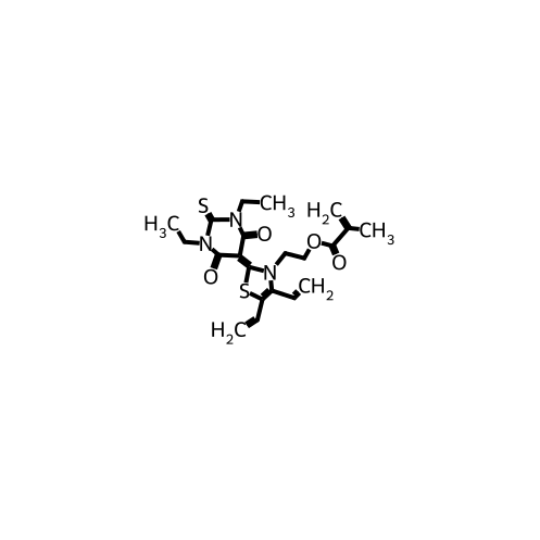 C=CC1=C(C=C)N(CCOC(=O)C(=C)C)C(=C2C(=O)N(CC)C(=S)N(CC)C2=O)S1